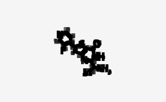 CC[C@H](N)c1nc2cc(-c3ccncc3F)sc2c(=O)[nH]1